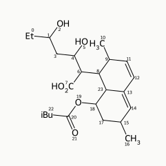 CCC(O)CC(O)C(C(=O)O)C1C(C)C=CC2=CC(C)CC(OC(=O)C(C)CC)C21